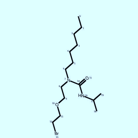 CCCCCCCN(CCOCCBr)C(=O)NC(C)C